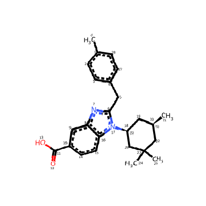 Cc1ccc(Cc2nc3cc(C(=O)O)ccc3n2[C@H]2C[C@@H](C)CC(C)(C)C2)cc1